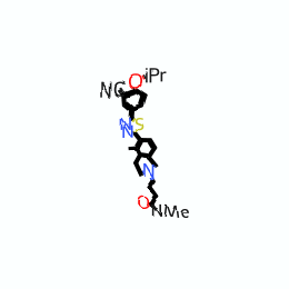 CNC(=O)CCCN1CCc2c(ccc(-c3nnc(-c4ccc(OC(C)C)c(C#N)c4)s3)c2C)C1